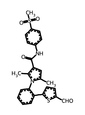 Cc1cc(C(=O)Nc2ccc(S(C)(=O)=O)cc2)c(C)n1-c1ccccc1-c1ccc(C=O)s1